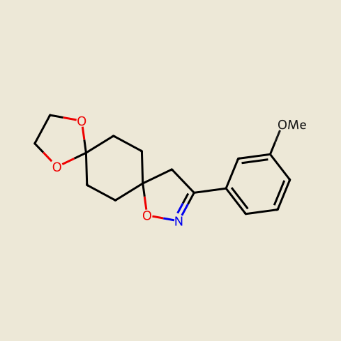 COc1cccc(C2=NOC3(CCC4(CC3)OCCO4)C2)c1